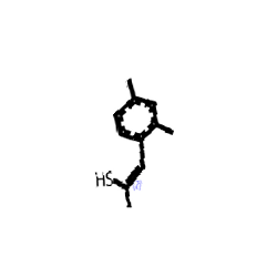 C/C(S)=C/c1ccc(C)cc1C